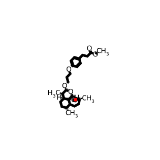 COC(=O)CCc1ccc(OCCCO[C@H]2O[C@@H]3O[C@@]4(C)CCC5[C@H](C)CC[C@@H]([C@H]2C)[C@]53OO4)cc1